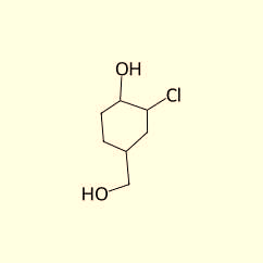 OCC1CCC(O)C(Cl)C1